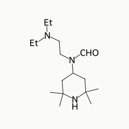 CCN(CC)CCN(C=O)C1CC(C)(C)NC(C)(C)C1